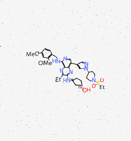 CCc1nc2c(NCc3ccc(OC)cc3OC)ncc(-c3cnn(C4CCN(S(=O)(=O)CC)CC4)c3)c2nc1N[C@@H]1CC[C@H](O)C1